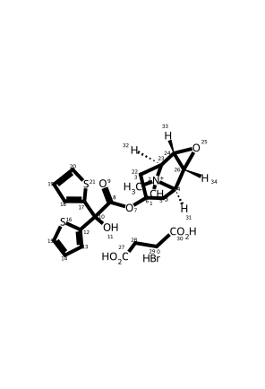 Br.C[N+]1(C)[C@@H]2CC(OC(=O)C(O)(c3cccs3)c3cccs3)C[C@H]1[C@@H]1O[C@@H]12.O=C(O)CCC(=O)O